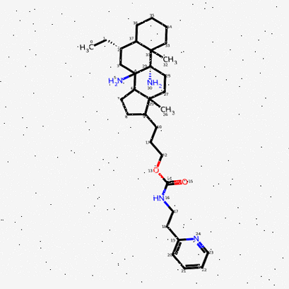 CC[C@H]1CC2(N)C3CCC(CCCOC(=O)NCCc4ccccn4)C3(C)CC[C@]2(N)C2(C)CCCCC12